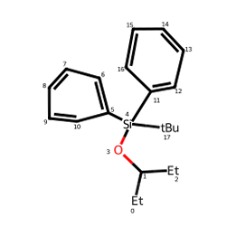 CCC(CC)O[Si](c1ccccc1)(c1ccccc1)C(C)(C)C